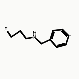 FCCCNCc1cc[c]cc1